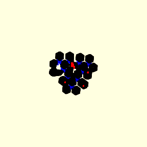 c1ccc(N(c2ccccc2)c2cc3c4c(c2)N(C25CC6CC(CC(C6)C2)C5)c2cc5c(cc2B4c2ccccc2N3c2ccccc2)B2c3cc4c(cc3N(C36CC7CC(CC(C7)C3)C6)c3cc(N(c6ccccc6)c6ccccc6)cc(c32)N5C23CC5CC(CC(C5)C2)C3)N2c3cc(cc5c3B4c3ccccc3N5c3ccccc3)N(c3ccccc3)c3cccc(c3)C3C4CC5CC3CC2(C5)C4)cc1